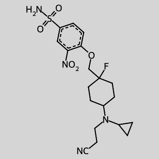 N#CCCN(C1CC1)C1CCC(F)(COc2ccc(S(N)(=O)=O)cc2[N+](=O)[O-])CC1